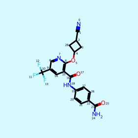 N#CC1CC(Oc2ncc(C(F)(F)F)cc2C(=O)Nc2ccc(C(N)=O)cc2)C1